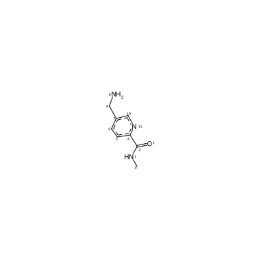 CNC(=O)c1ccc(CN)cn1